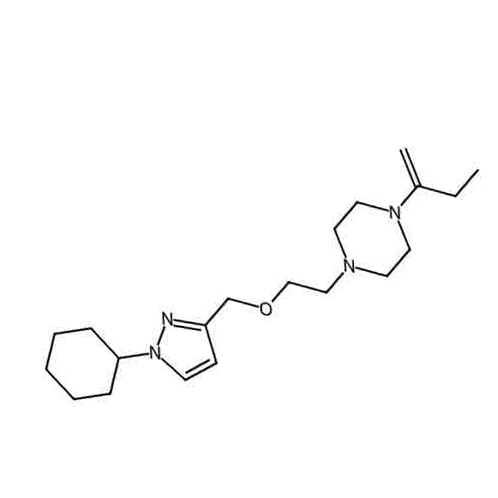 C=C(CC)N1CCN(CCOCc2ccn(C3CCCCC3)n2)CC1